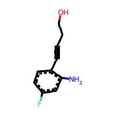 Nc1cc(F)ccc1C#CCCO